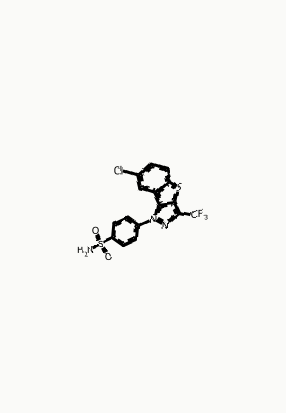 NS(=O)(=O)c1ccc(-n2nc(C(F)(F)F)c3sc4ccc(Cl)cc4c32)cc1